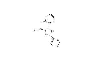 Cc1ccccc1[C@@H]1OC(c2ccccc2)O[C@H]1CO